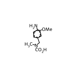 COc1cc(CN(C)C(=O)O)ccc1N